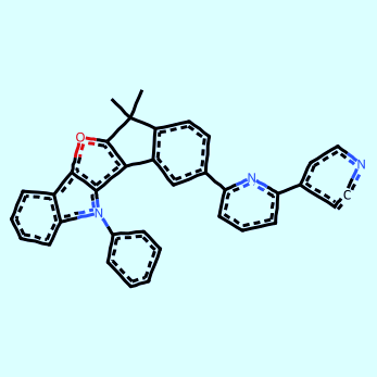 CC1(C)c2ccc(-c3cccc(-c4ccncc4)n3)cc2-c2c1oc1c3ccccc3n(-c3ccccc3)c21